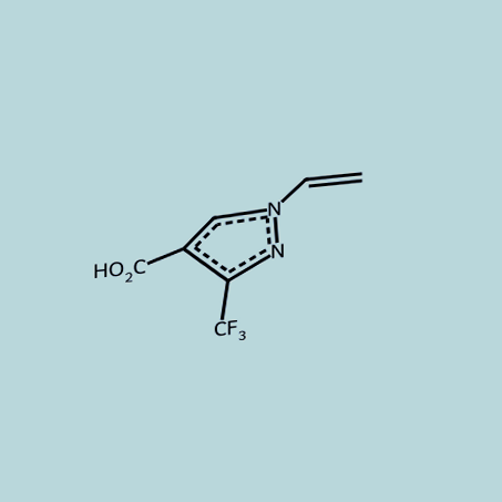 C=Cn1cc(C(=O)O)c(C(F)(F)F)n1